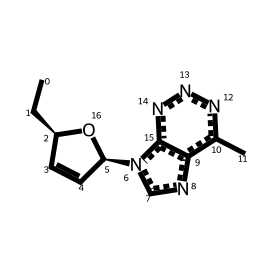 CC[C@@H]1C=C[C@H](n2cnc3c(C)nnnc32)O1